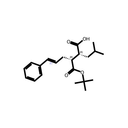 CC(C)C[C@@H](C(=O)O)[C@@H](C/C=C/c1ccccc1)C(=O)OC(C)(C)C